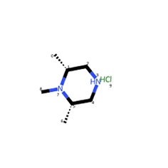 C[C@@H]1CNC[C@H](C)N1C.Cl